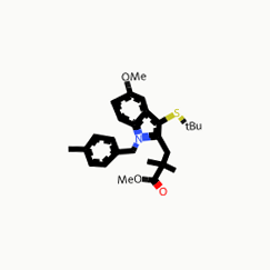 COC(=O)C(C)(C)Cc1c(SC(C)(C)C)c2cc(OC)ccc2n1Cc1ccc(C)cc1